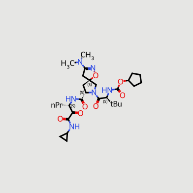 CCC[C@H](NC(=O)[C@@H]1C[C@]2(CC(N(C)C)=NO2)CN1C(=O)[C@@H](NC(=O)OC1CCCC1)C(C)(C)C)C(=O)C(=O)NC1CC1